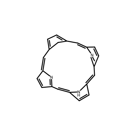 C1=CC2=NC1=CC1=CC=C(C=C3C=CC(=N3)C=c3ccc([nH]3)=C2)C1